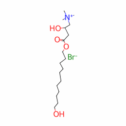 C[N+](C)(C)CC(O)CC(=O)OCCCCCCCCCCCO.[Br-]